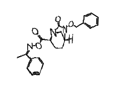 C/C(=N/OC(=O)[C@@H]1CC[C@@H]2CN1C(=O)N2OCc1ccccc1)c1ccccc1